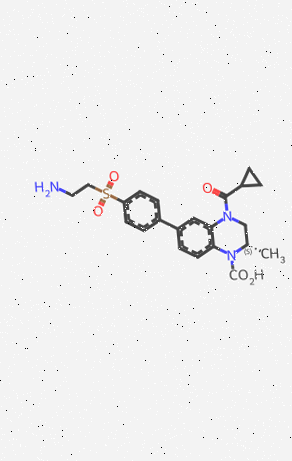 C[C@H]1CN(C(=O)C2CC2)c2cc(-c3ccc(S(=O)(=O)CCN)cc3)ccc2N1C(=O)O